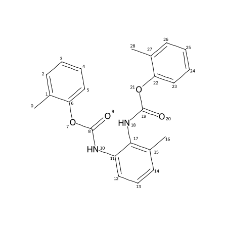 Cc1ccccc1OC(=O)Nc1cccc(C)c1NC(=O)Oc1ccccc1C